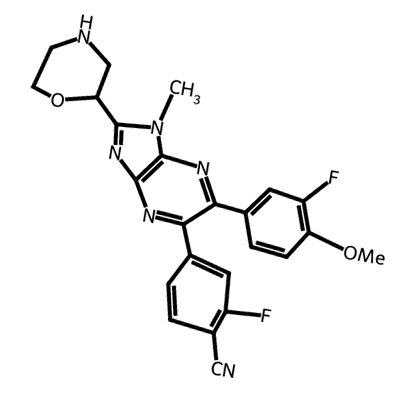 COc1ccc(-c2nc3c(nc2-c2ccc(C#N)c(F)c2)nc(C2CNCCO2)n3C)cc1F